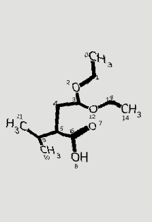 CCOC(CC(C(=O)O)C(C)C)OCC